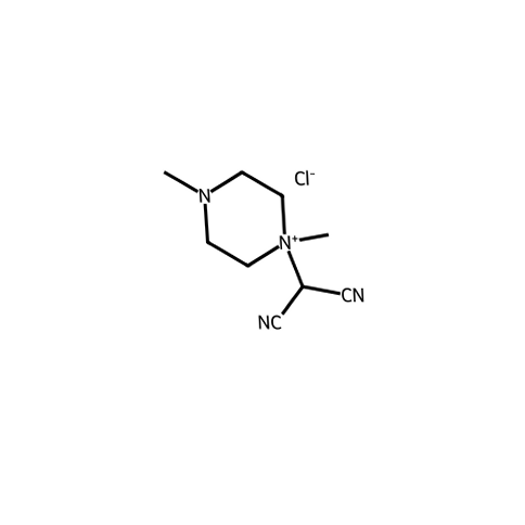 CN1CC[N+](C)(C(C#N)C#N)CC1.[Cl-]